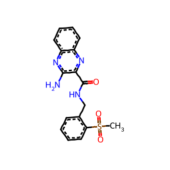 CS(=O)(=O)c1ccccc1CNC(=O)c1nc2ccccc2nc1N